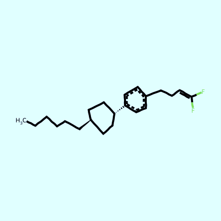 CCCCCC[C@H]1CC[C@H](c2ccc(CCC=C(F)F)cc2)CC1